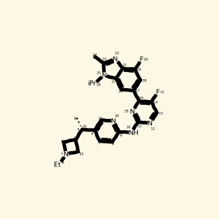 CCN1CC([C@H](C)c2ccc(Nc3ncc(F)c(-c4cc(F)c5nc(C)n(C(C)C)c5c4)n3)nc2)C1